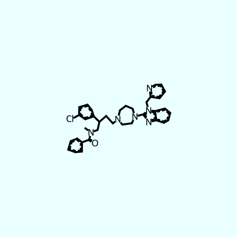 CN(CC(CCN1CCCN(c2nc3ccccc3n2Cc2ccccn2)CC1)c1cccc(Cl)c1)C(=O)c1ccccc1